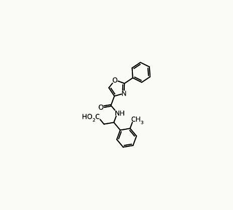 Cc1ccccc1C(CC(=O)O)NC(=O)c1coc(-c2ccccc2)n1